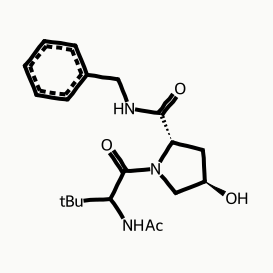 CC(=O)NC(C(=O)N1C[C@H](O)C[C@H]1C(=O)NCc1ccccc1)C(C)(C)C